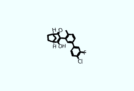 Cc1ccc(-c2ccc(Cl)c(F)c2)cc1C1=C(O)[C@H]2CC[C@H](C2)C1=O